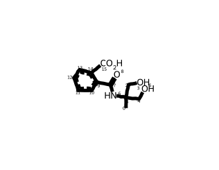 CC(CO)(CO)NC(=O)c1ccccc1C(=O)O